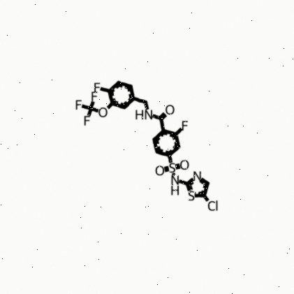 O=C(NCc1ccc(F)c(OC(F)(F)F)c1)c1ccc(S(=O)(=O)Nc2ncc(Cl)s2)cc1F